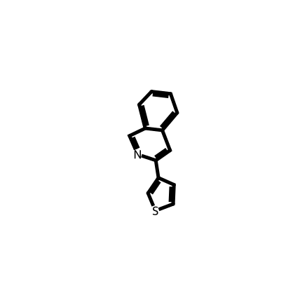 c1ccc2cc(-c3ccsc3)ncc2c1